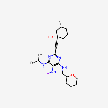 CCC(CC)Nc1nc(C#C[C@]2(O)CCC[C@@H](C)C2)nc(NCC2CCCCO2)c1NI